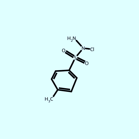 Cc1ccc(S(=O)(=O)N(N)Cl)cc1